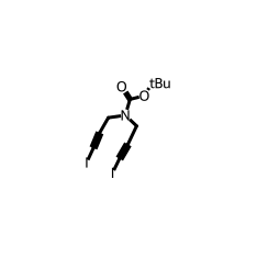 CC(C)(C)OC(=O)N(CC#CI)CC#CI